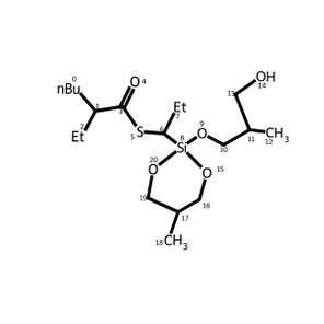 CCCCC(CC)C(=O)SC(CC)[Si]1(OCC(C)CO)OCC(C)CO1